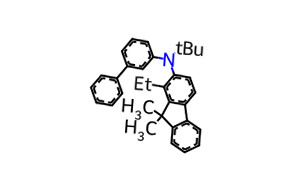 CCc1c(N(c2cccc(-c3ccccc3)c2)C(C)(C)C)ccc2c1C(C)(C)c1ccccc1-2